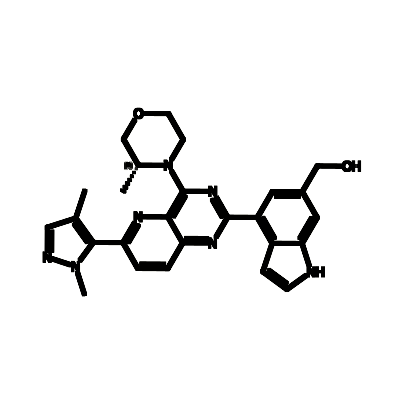 Cc1cnn(C)c1-c1ccc2nc(-c3cc(CO)cc4[nH]ccc34)nc(N3CCOC[C@H]3C)c2n1